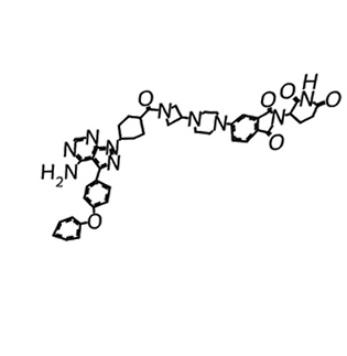 Nc1ncnc2c1c(-c1ccc(Oc3ccccc3)cc1)nn2C1CCC(C(=O)N2CC(N3CCN(c4ccc5c(c4)C(=O)N(C4CCC(=O)NC4=O)C5=O)CC3)C2)CC1